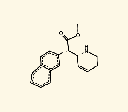 COC(=O)[C@@H](c1ccc2ccccc2c1)[C@H]1C=CCCN1